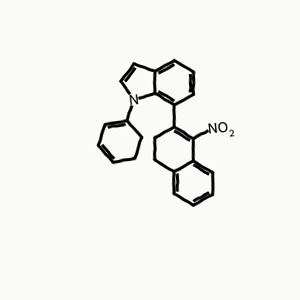 O=[N+]([O-])C1=C(c2cccc3ccn(C4=CC=CCC4)c23)CCc2ccccc21